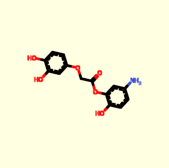 Nc1ccc(O)c(OC(=O)COc2ccc(O)c(O)c2)c1